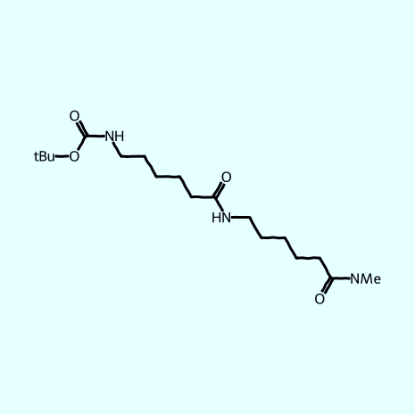 CNC(=O)CCCCCNC(=O)CCCCCNC(=O)OC(C)(C)C